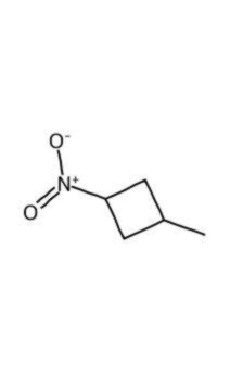 CC1CC([N+](=O)[O-])C1